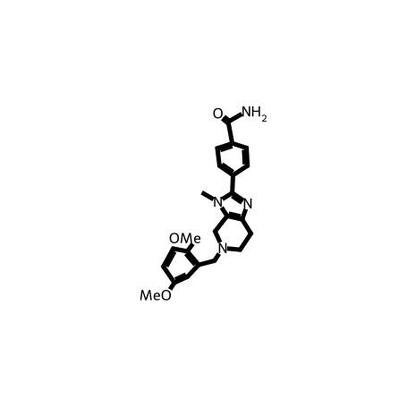 COc1ccc(OC)c(CN2CCc3nc(-c4ccc(C(N)=O)cc4)n(C)c3C2)c1